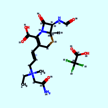 CC[N+](C)(C/C=C/C1=C(C(=O)O)N2C(=O)[C@@H](NC=O)[C@H]2SC1)CC(N)=O.O=C(O)C(F)(F)F